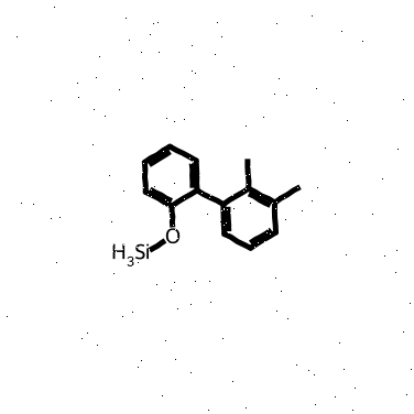 Cc1cccc(-c2ccccc2O[SiH3])c1C